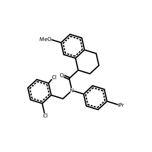 COc1ccc2c(c1)C(C(=O)N(Cc1c(Cl)cccc1Cl)c1ccc(C(C)C)cc1)CCC2